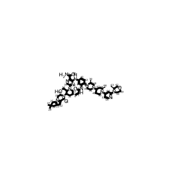 C=CC(=O)Nc1cc(Nc2nc(N3CCCC(N4CCn5c(cc6c5CC(C)(C)C6)C4=O)C3CO)cnc2C(N)=O)ccc1N1CCN(C2CCN(c3ccnc(N4CCOC[C@@H]4C)c3)[C@H](C)C2)C[C@@H]1C